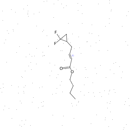 CCCCOC(=O)/C=C/CC1CC1(F)F